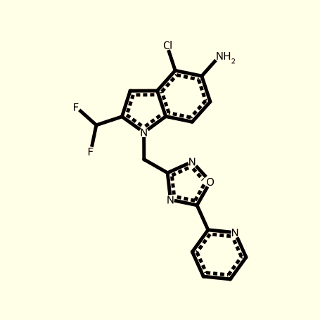 Nc1ccc2c(cc(C(F)F)n2Cc2noc(-c3ccccn3)n2)c1Cl